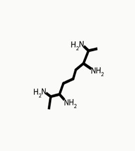 CC(N)C(N)CCCC(N)C(C)N